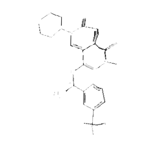 C[C@@H](Nc1nn(C)c(=O)c2cc(=O)n(C3CCOCC3)cc12)c1cccc(C(F)(F)F)c1